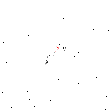 [CH2]C[CH]CCOCC